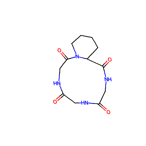 O=C1CNC(=O)CNC(=O)C2CCCCN2C(=O)CN1